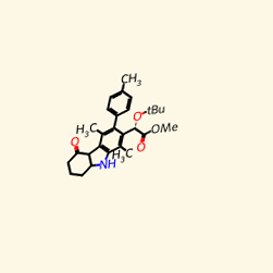 COC(=O)[C@@H](OC(C)(C)C)c1c(C)c2c(c(C)c1-c1ccc(C)cc1)C1C(=O)CCCC1N2